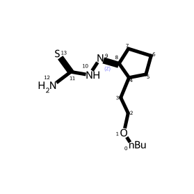 CCCCOCCC1CCC/C1=N/NC(N)=S